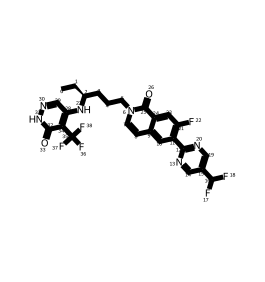 CC[C@@H](CCCn1ccc2cc(-c3ncc(C(F)F)cn3)c(F)cc2c1=O)Nc1cn[nH]c(=O)c1C(F)(F)F